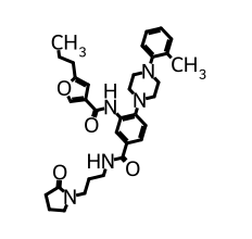 CCCc1cc(C(=O)Nc2cc(C(=O)NCCCN3CCCC3=O)ccc2N2CCN(c3ccccc3C)CC2)co1